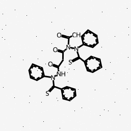 CC(=O)N(C(=O)CC(=O)NN(C(=S)c1ccccc1)c1ccccc1)N(C(=S)c1ccccc1)c1ccccc1